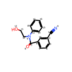 N#Cc1cccc(C(=O)N(CCO)c2ccccc2)c1